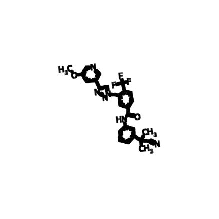 COc1cncc(-c2cn(-c3cc(C(=O)Nc4cccc(C(C)(C)C#N)c4)ccc3C(F)(F)F)nn2)c1